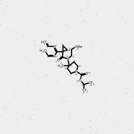 C=C/N=C(\N=C/C)C1(C(=O)N(CCOC)C2(C)CCN(C(=O)OC(C(F)(F)F)C(F)(F)F)CC2)CC1